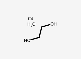 O.OCCO.[Cd]